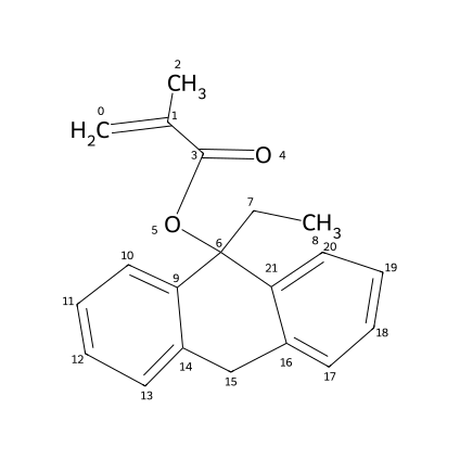 C=C(C)C(=O)OC1(CC)c2ccccc2Cc2ccccc21